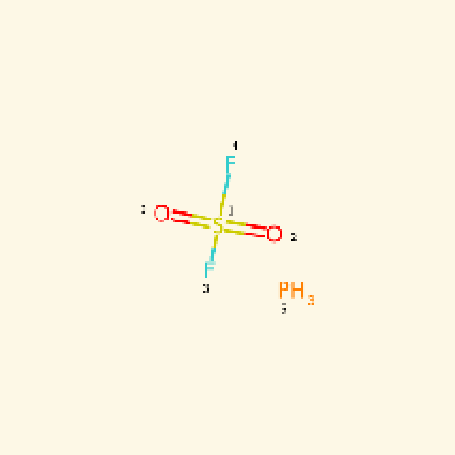 O=S(=O)(F)F.P